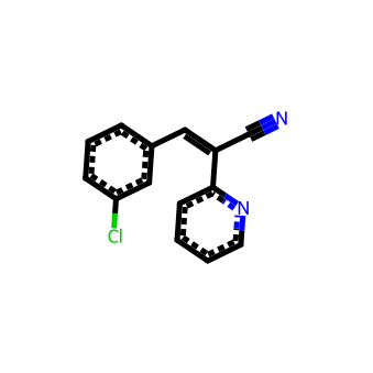 N#C/C(=C/c1cccc(Cl)c1)c1ccccn1